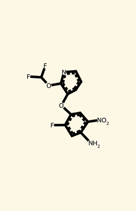 Nc1cc(F)c(Oc2cccnc2OC(F)F)cc1[N+](=O)[O-]